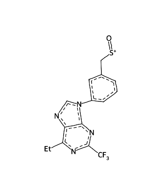 CCc1nc(C(F)(F)F)nc2c1ncn2-c1cccc(C[S+]=O)c1